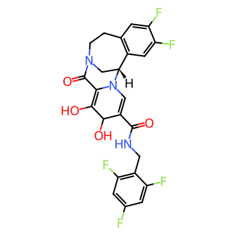 O=C(NCc1c(F)cc(F)cc1F)C1=CN2C(=C(O)C1O)C(=O)N1CCc3cc(F)c(F)cc3[C@H]2C1